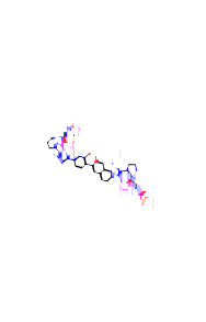 COC(=O)NCC(=O)N1CCCC1c1nc2ccc3cc4c(cc3c2[nH]1)OCc1cc(-c2cnc(C3CC[C@H](C)N3C(=O)CNC=O)[nH]2)ccc1-4